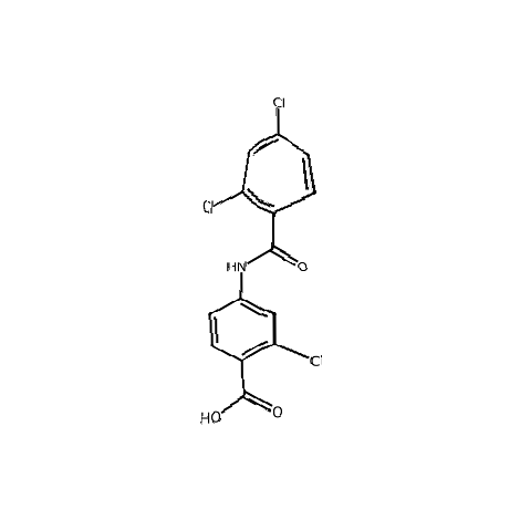 O=C(O)c1ccc(NC(=O)c2ccc(Cl)cc2Cl)cc1Cl